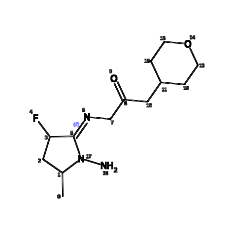 CC1CC(F)/C(=N/CC(=O)CC2CCOCC2)N1N